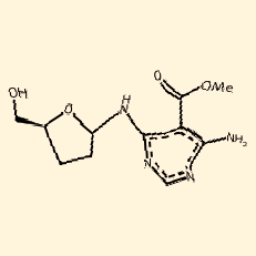 COC(=O)c1c(N)ncnc1NC1CC[C@@H](CO)O1